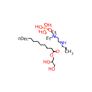 C=CCNCCN(CC)CC.CCCCCCCCCCCCCCCCCC(=O)OCC(O)CO.O=P(O)(O)O